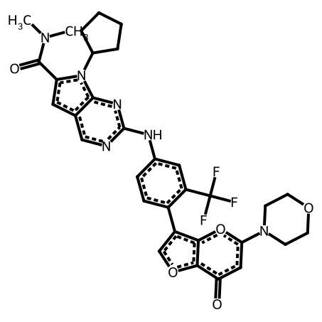 CN(C)C(=O)c1cc2cnc(Nc3ccc(-c4coc5c(=O)cc(N6CCOCC6)oc45)c(C(F)(F)F)c3)nc2n1C1CCCC1